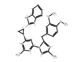 COc1ccc(Cc2nc(C)nn2-c2cc([C@H]3C[C@@H]3c3nc4ccccc4[nH]3)nc(C)n2)cc1OC